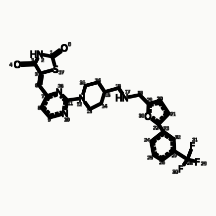 O=C1NC(=O)C(=Cc2ccnc(N3CCC(CNCc4ccc(-c5cccc(C(F)(F)F)c5)o4)CC3)n2)S1